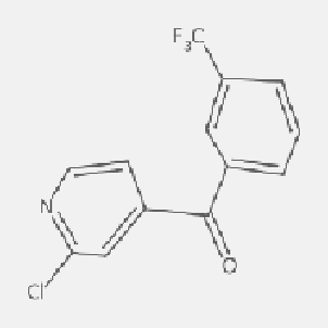 O=C(c1cccc(C(F)(F)F)c1)c1ccnc(Cl)c1